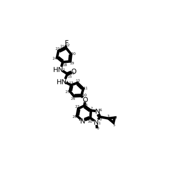 Cn1c(C2CC2)nc2c(Oc3ccc(NC(=O)Nc4ccc(F)cc4)cc3)ccnc21